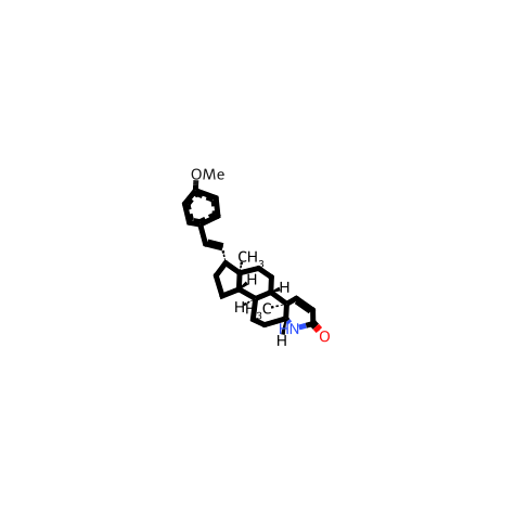 COc1ccc(/C=C/[C@H]2CC[C@H]3[C@@H]4CC[C@H]5NC(=O)C=C[C@]5(C)[C@H]4CC[C@]23C)cc1